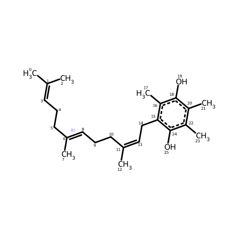 CC(C)=CCC/C(C)=C/CCC(C)=CCc1c(C)c(O)c(C)c(C)c1O